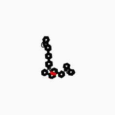 c1ccc(-c2ccccc2N(c2ccc(-c3ccc(-c4ccc5c(c4)oc4ccccc45)cc3)cc2)c2ccc(-c3cccc(-n4c5ccccc5c5ccccc54)c3)cc2)cc1